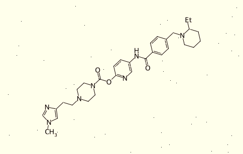 CCC1CCCCN1Cc1ccc(C(=O)Nc2ccc(OC(=O)N3CCN(CCc4cn(C)cn4)CC3)nc2)cc1